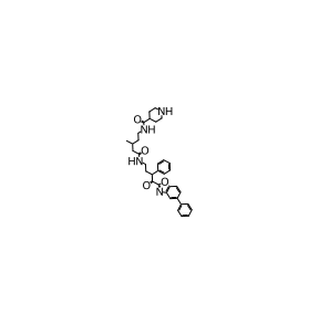 CC(CCNC(=O)C1CCNCC1)CC(=O)NCCC(C(=O)c1nc2cc(-c3ccccc3)ccc2o1)c1ccccc1